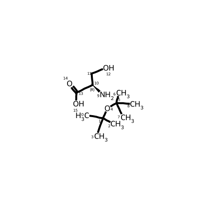 CC(C)(C)OC(C)(C)C.N[C@H](CO)C(=O)O